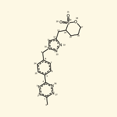 Cc1nnc(-c2ccc(Cn3cc(CC4CCCOS4(=O)=O)nn3)cc2)nn1